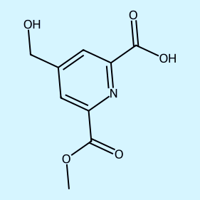 COC(=O)c1cc(CO)cc(C(=O)O)n1